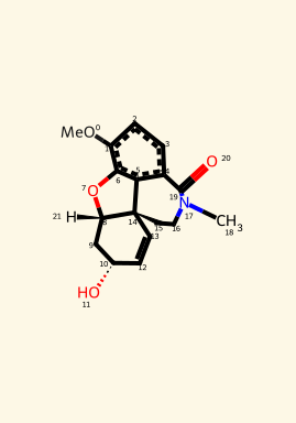 COc1ccc2c3c1O[C@H]1C[C@@H](O)C=C[C@@]31CCN(C)C2=O